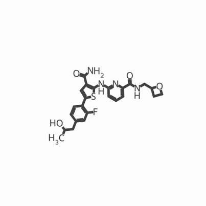 CC(O)Cc1ccc(-c2cc(C(N)=O)c(Nc3cccc(C(=O)NCC4CCO4)n3)s2)c(F)c1